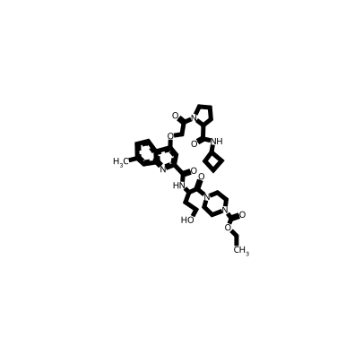 CCOC(=O)N1CCN(C(=O)C(CCO)NC(=O)c2cc(OCC(=O)N3CCCC3C(=O)NC3CCC3)c3ccc(C)cc3n2)CC1